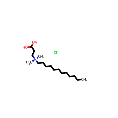 CCCCCCCCCCCC[N+](C)(C)CCC(O)O.[Cl-]